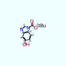 CC(C)(C)OC(=O)n1cnc2cc(O)ccc21